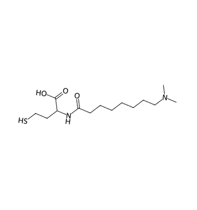 CN(C)CCCCCCCC(=O)NC(CCS)C(=O)O